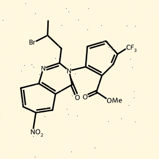 COC(=O)c1cc(C(F)(F)F)ccc1-n1c(CC(C)Br)nc2ccc([N+](=O)[O-])cc2c1=O